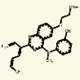 C=C/C(=C\C=C/C)c1nc(N(C)c2cccc(C#N)c2)c2cc(OCCOC)ccc2n1